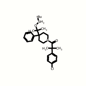 CC(C)(C)[SiH2]OC(C)(C)C1(c2ccccc2)CCN(C(=O)C(C)(C)c2ccc(Cl)cc2)CC1